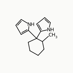 CC1CCCCC1(c1ccc[nH]1)c1ccc[nH]1